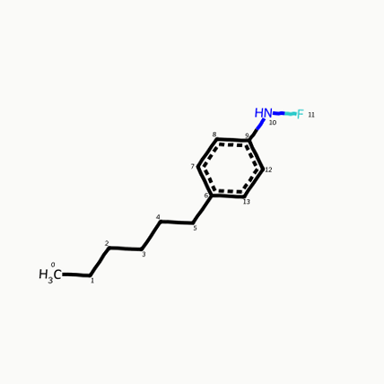 CCCCCCc1ccc(NF)cc1